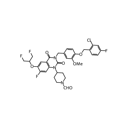 COc1cc(Cn2c(=O)c3cc(OC(CF)CF)c(F)cc3n(C3CCN(C=O)CC3)c2=O)ccc1OCc1ccc(F)cc1Cl